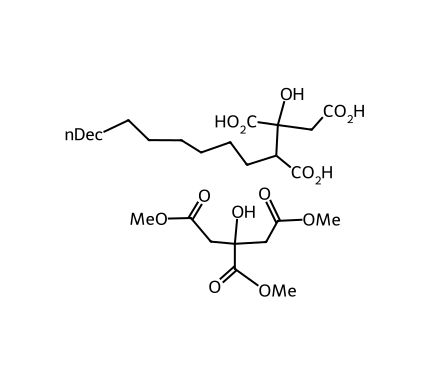 CCCCCCCCCCCCCCCCC(C(=O)O)C(O)(CC(=O)O)C(=O)O.COC(=O)CC(O)(CC(=O)OC)C(=O)OC